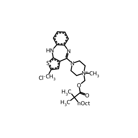 CCCCCCCCC(C)(C)C(=O)OC[N+]1(C)CCN(C2=Nc3ccccc3Nc3sc(C)cc32)CC1.[Cl-]